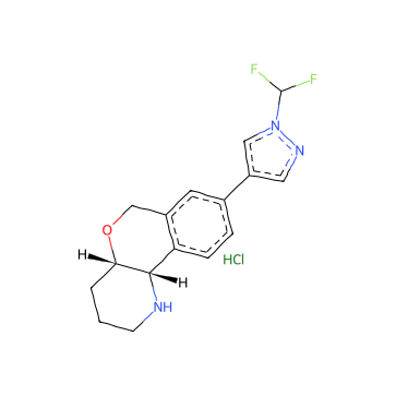 Cl.FC(F)n1cc(-c2ccc3c(c2)CO[C@H]2CCCN[C@@H]32)cn1